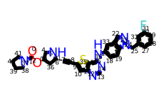 O=C(O[C@@H]1CN[C@H](C#Cc2cc3ncnc(Nc4ccc5c(cnn5Cc5cccc(F)c5)c4)c3s2)C1)N1CCCC1